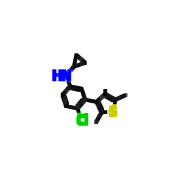 Cc1[c]c(-c2cc(NC3CC3)ccc2Cl)c(C)s1